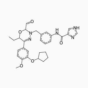 CCC1OC(C=O)N(Cc2cccc(NC(=O)c3c[nH]cn3)c2)N=C1c1ccc(OC)c(OC2CCCC2)c1